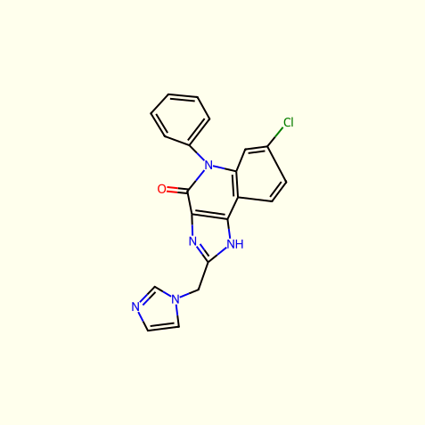 O=c1c2nc(Cn3ccnc3)[nH]c2c2ccc(Cl)cc2n1-c1ccccc1